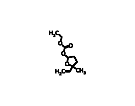 C=CC1(C)CCC(OC(=O)OCC)O1